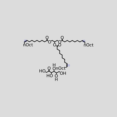 CCCCCCCC/C=C\CCCCCCCC(=O)OCC(COC(=O)CCCCCCC/C=C\CCCCCCCC)OC(=O)CCCCCCC/C=C\CCCCCCCC.O=C(CO)C(O)C(O)C(O)CO